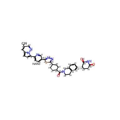 CNc1cc(-c2ccc3cc(C#N)cnn23)ncc1-c1nnc(C2CCC(C(=O)N3CCc4cc([C@H]5CCC(=O)NC5=O)ccc4C3)CC2)s1